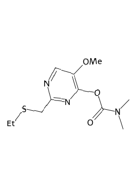 CCSCc1ncc(OC)c(OC(=O)N(C)C)n1